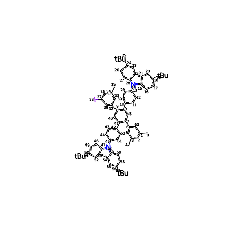 Cc1cc(C)cc(-c2cc(-c3ccc(-n4c5ccc(C(C)(C)C)cc5c5cc(C(C)(C)C)ccc54)cc3)c(-c3cc(C)cc(I)c3)cc2-c2ccc(-n3c4ccc(C(C)(C)C)cc4c4cc(C(C)(C)C)ccc43)cc2)c1